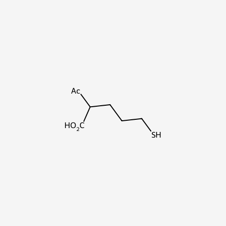 CC(=O)C(CCCS)C(=O)O